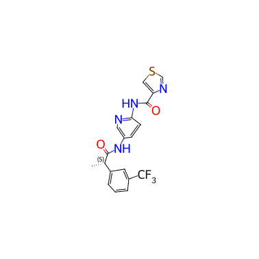 C[C@H](C(=O)Nc1ccc(NC(=O)c2cscn2)nc1)c1cccc(C(F)(F)F)c1